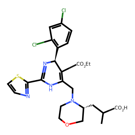 CCOC(=O)C1=C(CN2CCOC[C@H]2CC(C)C(=O)O)NC(c2nccs2)=N[C@H]1c1ccc(Cl)cc1Cl